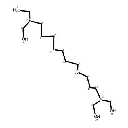 CCP(CO)CCCSCCCSCCCP(CO)CO